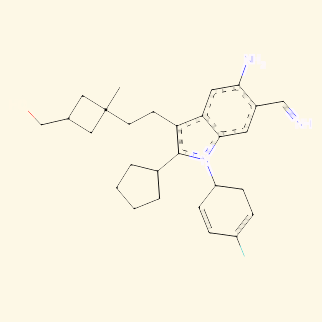 CC1(CCc2c(C3CCCC3)n(C3C=CC(F)=CC3)c3cc(C=N)c(N)cc23)CC(CO)C1